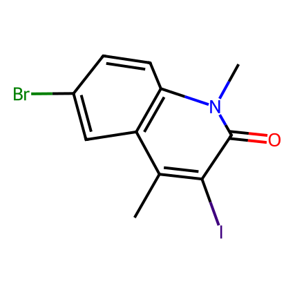 Cc1c(I)c(=O)n(C)c2ccc(Br)cc12